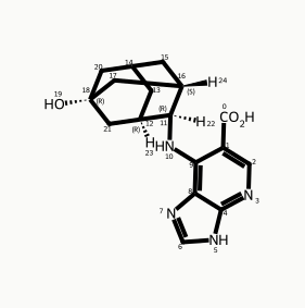 O=C(O)c1cnc2[nH]cnc2c1N[C@H]1[C@@H]2CC3C[C@H]1C[C@](O)(C3)C2